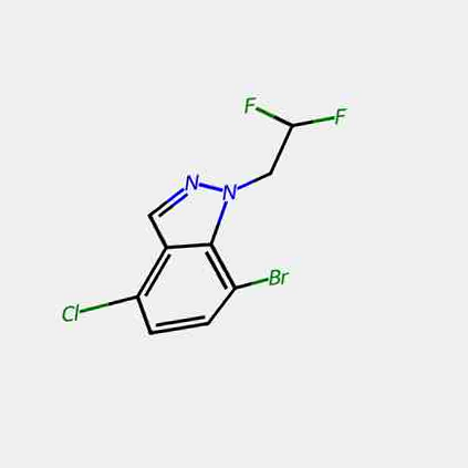 FC(F)Cn1ncc2c(Cl)ccc(Br)c21